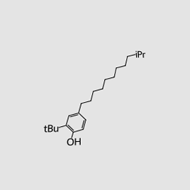 CC(C)CCCCCCCCCc1ccc(O)c(C(C)(C)C)c1